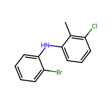 Cc1c(Cl)cccc1Nc1ccccc1Br